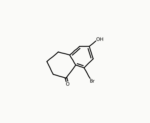 O=C1CCCc2cc(O)cc(Br)c21